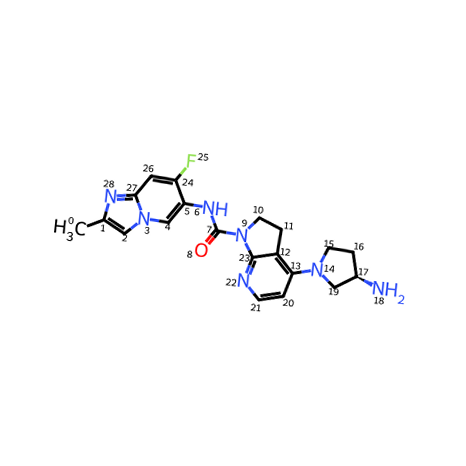 Cc1cn2cc(NC(=O)N3CCc4c(N5CC[C@@H](N)C5)ccnc43)c(F)cc2n1